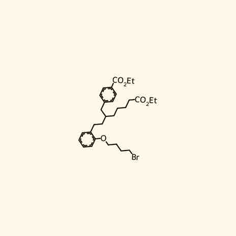 CCOC(=O)CCCCC(CCc1ccccc1OCCCCBr)Cc1ccc(C(=O)OCC)cc1